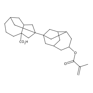 C=C(C)C(=O)OC1CC2CC3CC(C45CC6CCCC(C(=O)O)(C4)C(C6)C5)(C2)CC3C1